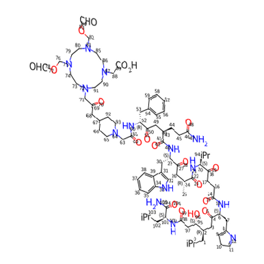 CC(C)C[C@H](CC(=O)[C@H](CC1=CCC=N1)NC(=O)CCC(=O)[C@@H](NC(=O)[C@H](C)CC(=O)[C@H](Cc1c[nH]c2ccccc12)NC(=O)[C@H](CCC(N)=O)CC(=O)[C@@H](Cc1ccccc1)NC(=O)CN1CCC(CC(=O)CN2CCN(COC=O)CCN(COC=O)CCN(CC(=O)O)CC2)CC1)C(C)C)[C@@H](O)CC(=O)N[C@@H](CC(C)C)C(N)=O